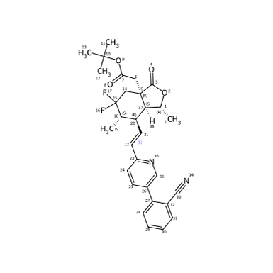 C[C@H]1OC(=O)[C@]2(CC(=O)OC(C)(C)C)CC(F)(F)[C@@H](C)[C@H](/C=C/c3ccc(-c4ccccc4C#N)cn3)[C@H]12